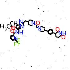 CC(C)Oc1cc2nc(CC3CCN(C(=O)CN4CCC(c5ccc(C6CCC(=O)NC6=O)cc5)CC4)CC3)cn2cc1NC(=O)c1cccc(C(F)(F)F)n1